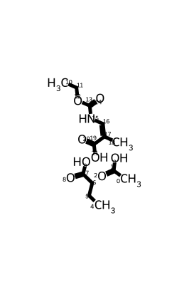 CC(=O)O.CCCC(=O)O.CCOC(=O)NC=C(C)C(=O)O